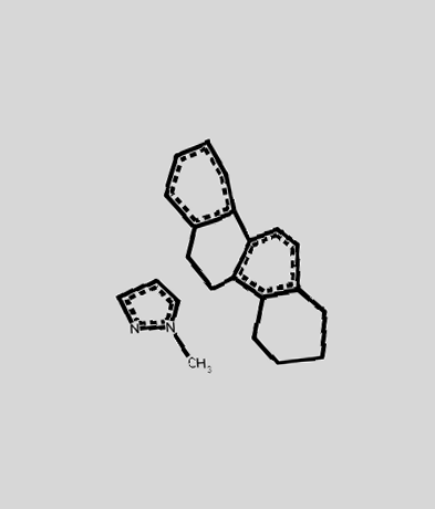 Cn1cccn1.c1ccc2c(c1)CCc1c-2ccc2c1CCCC2